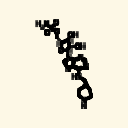 NS(=O)(=O)OC[C@H]1O[C@@H](n2cnc3c(NCC4CCNCC4)ncnc32)[C@H](O)[C@@H]1O